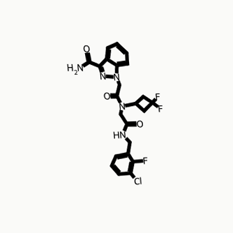 NC(=O)c1nn(CC(=O)N(CC(=O)NCc2cccc(Cl)c2F)C2CC(F)(F)C2)c2ccccc12